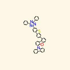 c1ccc(-c2nc(-c3ccccc3)nc(-c3ccc4c(c3)sc3cc(-c5cccc6oc7c(-n8c9ccccc9c9ccccc98)cccc7c56)ccc34)n2)cc1